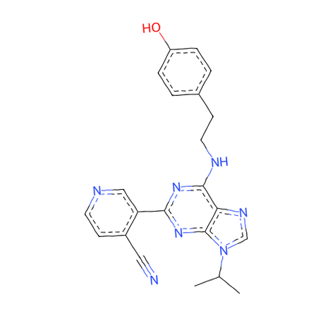 CC(C)n1cnc2c(NCCc3ccc(O)cc3)nc(-c3cnccc3C#N)nc21